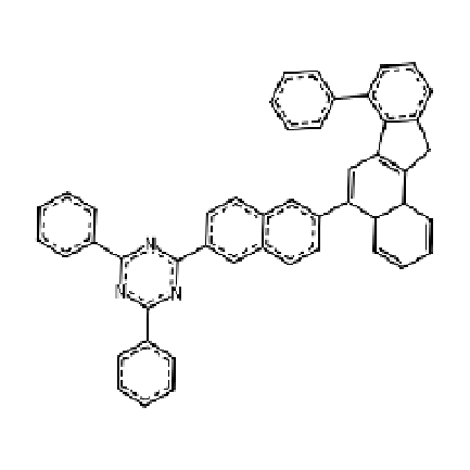 C1=CC2C(c3ccc4cc(-c5nc(-c6ccccc6)nc(-c6ccccc6)n5)ccc4c3)=CC3=C(Cc4cccc(-c5ccccc5)c43)C2C=C1